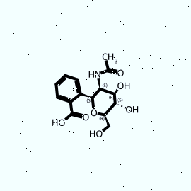 CC(=O)N[C@H]1[C@@H](O)[C@H](O)[C@@H](CO)O[C@H]1c1ccccc1C(=O)O